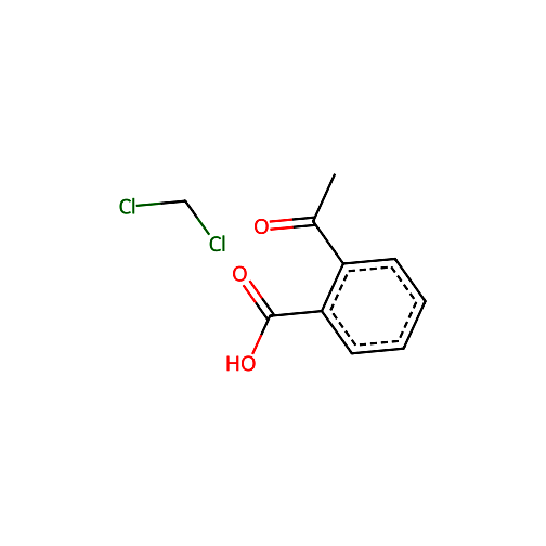 CC(=O)c1ccccc1C(=O)O.ClCCl